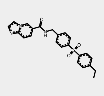 CCc1ccc(S(=O)(=O)c2ccc(CNC(=O)c3ccc4nccn4c3)cc2)cc1